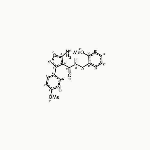 COc1ccc(-c2noc(N)c2C(=O)NCc2ccccc2OC)cn1